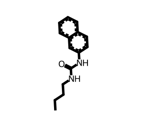 CCCCNC(=O)Nc1ccc2ccccc2c1